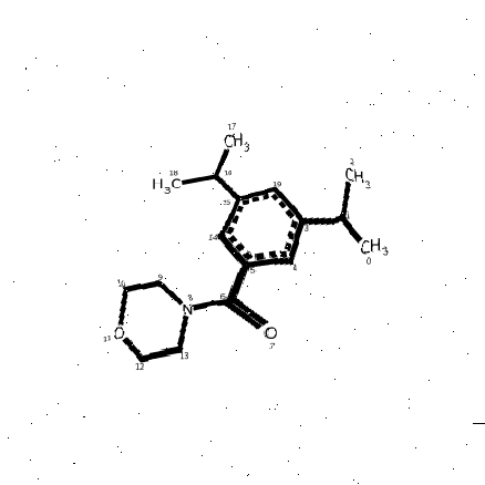 CC(C)c1cc(C(=O)N2CCOCC2)cc(C(C)C)c1